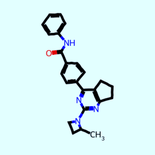 CC1CCN1c1nc2c(c(-c3ccc(C(=O)Nc4ccccc4)cc3)n1)CCC2